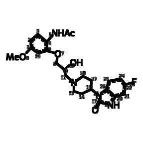 COc1ccc(NC(C)=O)c(OC[C@@H](O)CN2CCC(n3c(=O)[nH]c4cc(F)ccc43)CC2)c1